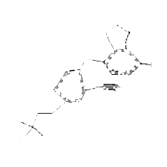 CC(C)(O)CCc1ccc(Oc2ccc(F)c3c2CCC3)c(C#N)c1